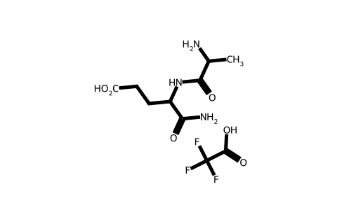 CC(N)C(=O)NC(CCC(=O)O)C(N)=O.O=C(O)C(F)(F)F